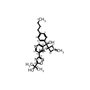 CCCCc1ccc(C(O)(c2cncc(-c3noc(C(C)(C)O)n3)c2)C2(C)CN(C)C2)cc1